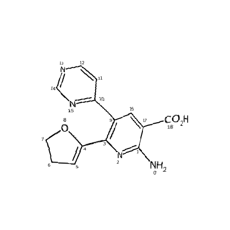 Nc1nc(C2=CCCO2)c(-c2ccncn2)cc1C(=O)O